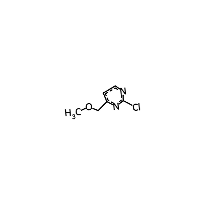 COCc1ccnc(Cl)n1